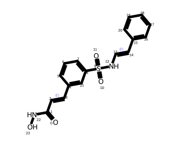 O=C(/C=C/c1cccc(S(=O)(=O)N/C=C/c2ccccc2)c1)NO